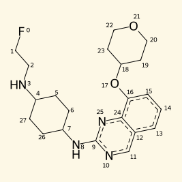 FCCNC1CCC(Nc2ncc3cccc(OC4CCOCC4)c3n2)CC1